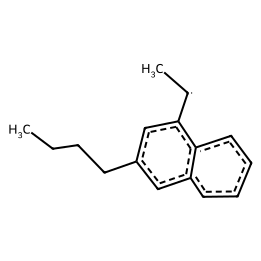 C[CH]c1cc(CCCC)cc2ccccc12